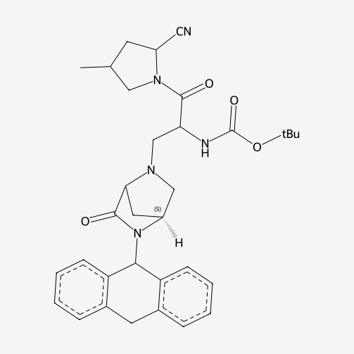 CC1CC(C#N)N(C(=O)C(CN2C[C@@H]3CC2C(=O)N3C2c3ccccc3Cc3ccccc32)NC(=O)OC(C)(C)C)C1